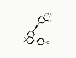 CCc1cc(C#Cc2ccc3c(c2)C(c2ccc(Cl)cc2)=CCC3(C)C)ccc1C(=O)O